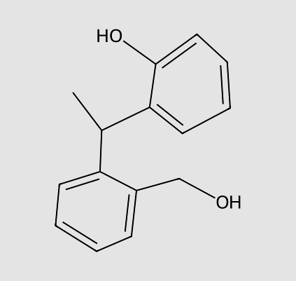 CC(c1ccccc1O)c1ccccc1CO